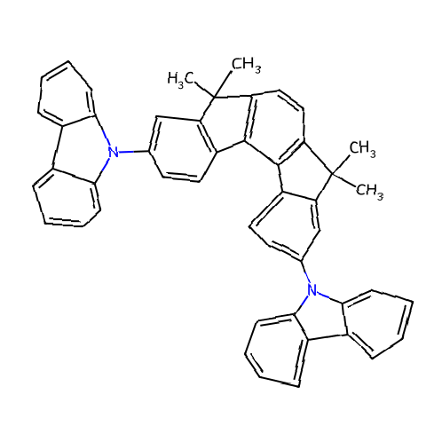 CC1(C)c2cc(-n3c4ccccc4c4ccccc43)ccc2-c2c1ccc1c2-c2ccc(-n3c4ccccc4c4ccccc43)cc2C1(C)C